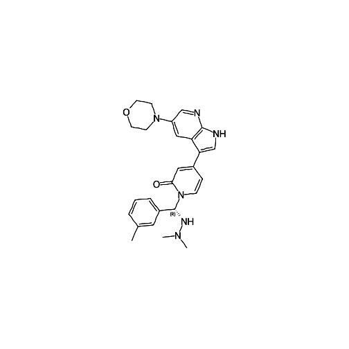 Cc1cccc([C@@H](NN(C)C)n2ccc(-c3c[nH]c4ncc(N5CCOCC5)cc34)cc2=O)c1